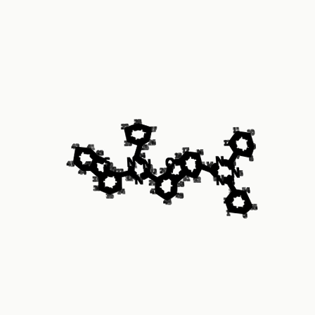 c1ccc(-c2nc(-c3ccccc3)nc(-c3ccc4oc5c(-c6nc(-c7ccccc7)nc(-c7cccc8c7sc7ccccc78)n6)cccc5c4c3)n2)cc1